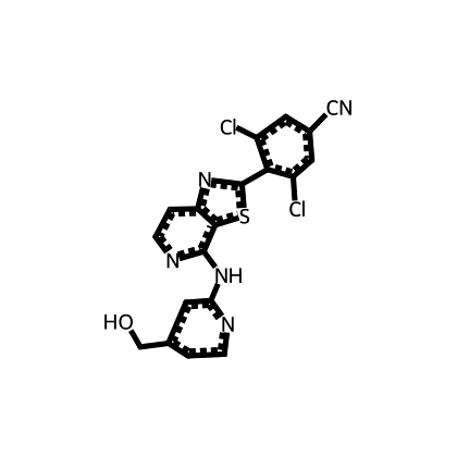 N#Cc1cc(Cl)c(-c2nc3ccnc(Nc4cc(CO)ccn4)c3s2)c(Cl)c1